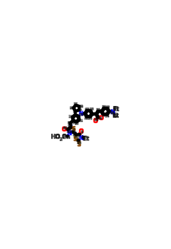 CCN1C(=O)/C(=c2\s/c(=C\c3ccc4c(c3)C3CCCC3N4c3ccc(-c4cc5ccc(N(CC)CC)cc5oc4=O)cc3)c(=O)n2CC(=O)O)SC1=S